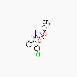 C[C@H](NC(=O)C(C)(C)Oc1ccc(C(F)(F)F)cc1)C(Cc1ccc(Cl)cc1)c1ccccc1